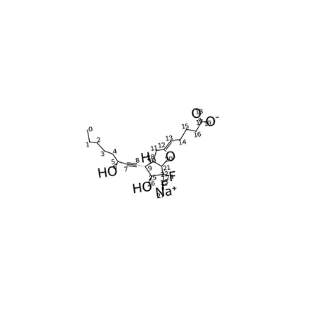 CCCCC[C@H](O)C#C[C@@H]1[C@H]2C/C(=C/CCCC(=O)[O-])OC2C(F)(F)[C@H]1O.[Na+]